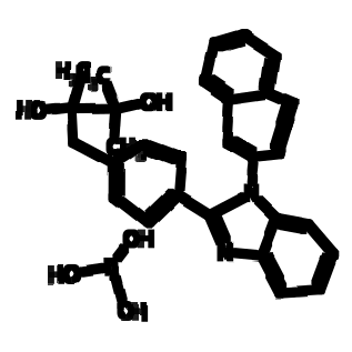 CC(C)(O)C(C)(O)Cc1ccc(-c2nc3ccccc3n2-c2ccc3ccccc3c2)cc1.OB(O)O